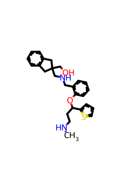 CNCCC(Oc1ccccc1CNCC1(CO)Cc2ccccc2C1)c1cccs1